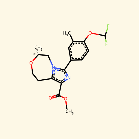 COC(=O)c1nc(-c2ccc(OC(F)F)c(C)c2)n2c1CCO[C@H](C)C2